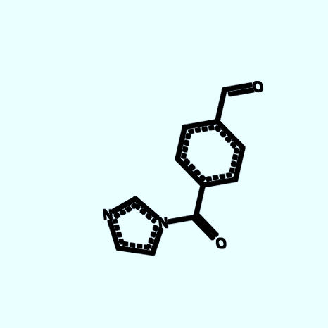 O=Cc1ccc(C(=O)n2ccnc2)cc1